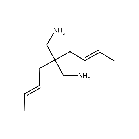 CC=CCC(CN)(CN)CC=CC